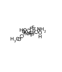 COc1ccc(C(=O)Nc2cc(C(c3ccc(O)c(N)c3)(C(F)(F)F)C(F)(F)F)ccc2O)cc1